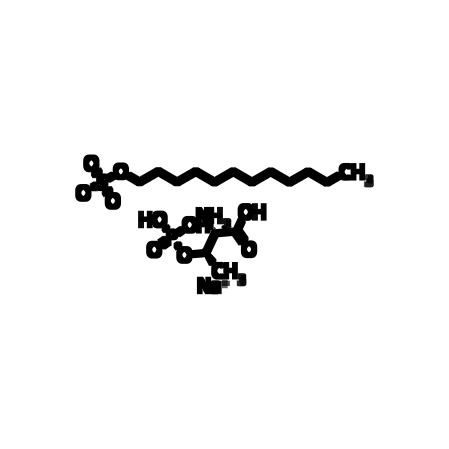 CCCCCCCCCCCCOS(=O)(=O)[O-].C[C@@H](OP(=O)(O)O)[C@H](N)C(=O)O.[Na+]